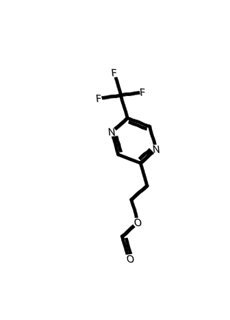 O=COCCc1cnc(C(F)(F)F)cn1